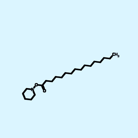 CCCCCCCCCCCCCCCC(=O)ON1CCCCC1